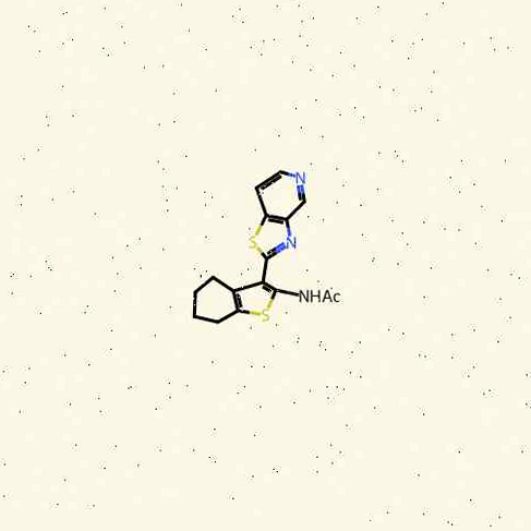 CC(=O)Nc1sc2c(c1-c1nc3cnccc3s1)CCCC2